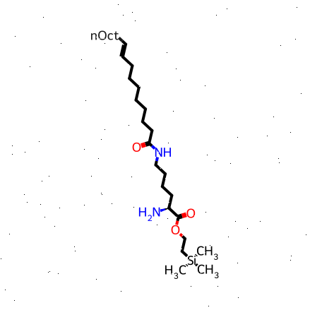 CCCCCCCCC=CCCCCCCCC(=O)NCCCC[C@H](N)C(=O)OCC[Si](C)(C)C